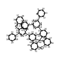 c1ccc(-c2nc(-c3ccccc3)nc(-c3cccc4c3-c3cc(-c5nc(-c6ccccc6)c6sc7ccccc7c6n5)ccc3C43c4ccccc4Oc4ccccc43)n2)cc1